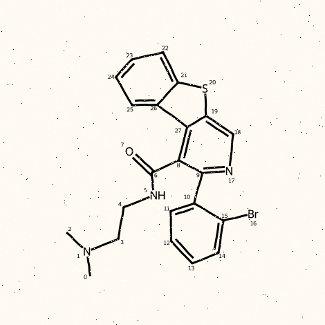 CN(C)CCNC(=O)c1c(-c2ccccc2Br)ncc2sc3ccccc3c12